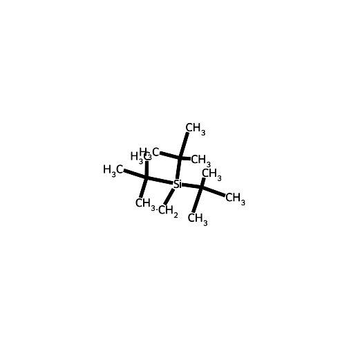 [CH2][Si](C(C)(C)C)(C(C)(C)C)C(C)(C)C